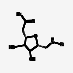 CCNC[C@H]1O[C@@H](CC(=O)C(C)C)C(O)C1O